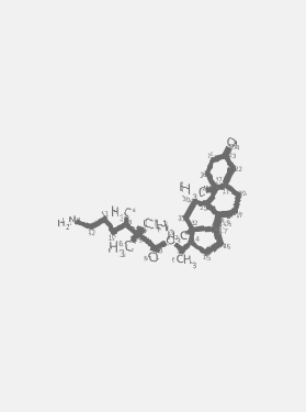 CC(OC(=O)C(C)(C)C(C)CCCN)C1CCC2C3CCC4=CC(=O)CCC4(C)C3CCC12C